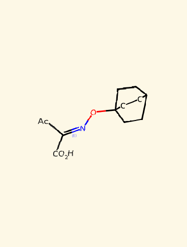 CC(=O)/C(=N\OC12CCC(CC1)CC2)C(=O)O